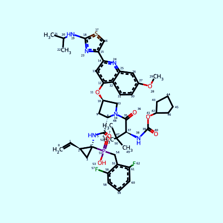 C=C[C@@H]1C[C@]1(NC(=O)[C@@H]1C[C@@H](Oc2cc(-c3csc(NC(C)C)n3)nc3cc(OC)ccc23)CN1C(=O)[C@@H](NC(=O)OC1CCCC1)C(C)(C)C)P(=O)(O)Cc1c(F)cccc1F